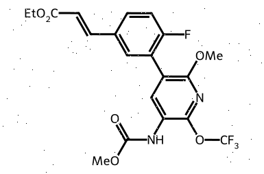 CCOC(=O)/C=C/c1ccc(F)c(-c2cc(NC(=O)OC)c(OC(F)(F)F)nc2OC)c1